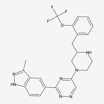 Cc1n[nH]c2ccc(-c3nncc(N4CCNC(Cc5ccccc5OC(F)(F)F)C4)n3)cc12